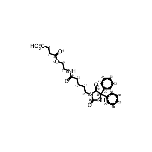 O=C(O)CCC(=O)OCCNC(=O)CCCCN1C(=O)NC(c2ccccc2)(c2ccccc2)C1=O